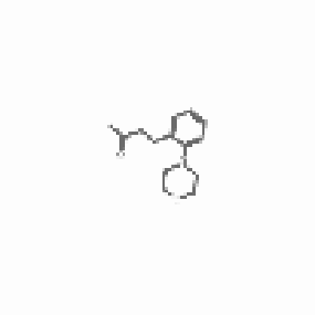 CC(=O)CCc1ccccc1N1CCOCC1